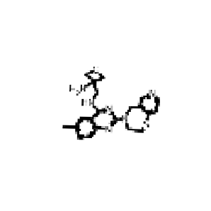 Cc1ccc2nc(N3CCSc4ccncc4C3)nc(NCC3(N)COC3)c2c1